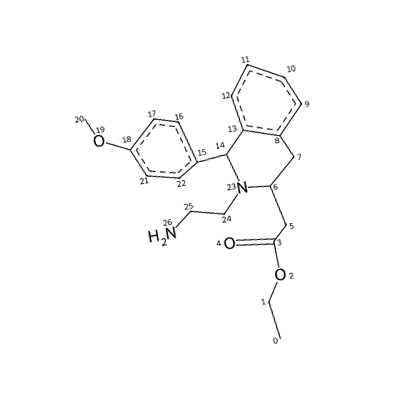 CCOC(=O)CC1Cc2ccccc2C(c2ccc(OC)cc2)N1CCN